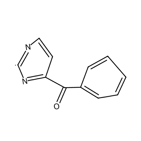 O=C(c1ccccc1)c1ccn[c]n1